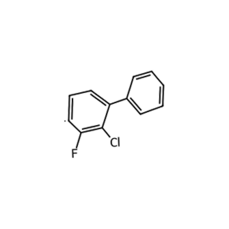 Fc1[c]ccc(-c2ccccc2)c1Cl